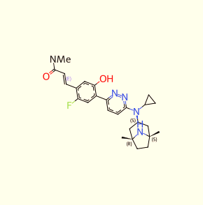 CNC(=O)/C=C/c1cc(O)c(-c2ccc(N(C3CC3)[C@H]3C[C@]4(C)CC[C@](C)(C3)N4)nn2)cc1F